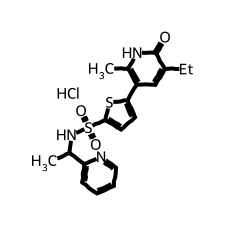 CCc1cc(-c2ccc(S(=O)(=O)NC(C)c3ccccn3)s2)c(C)[nH]c1=O.Cl